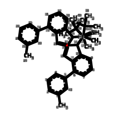 Cc1cccc(-c2cccc3c2C=C[CH]3[Hf]([CH3])([CH3])(=[SiH2])([CH]2C=Cc3c(-c4cccc(C)c4)cccc32)([C](C)(C)C)[C](C)(C)C)c1